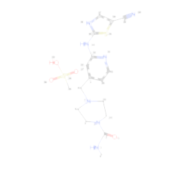 CNC(=O)N1CCN(Cc2ccnc(Nc3ncc(C#N)s3)c2)CC1.CS(=O)(=O)O